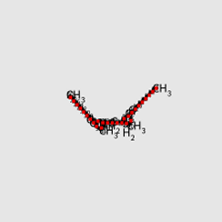 CCCCCCCCCCCCCOCOC1CCC(C)[SiH2]N(CCCSSCCCN2CCC(OCOCCCCCCCCCCCCC)CCC(C)[SiH2]2)CC1